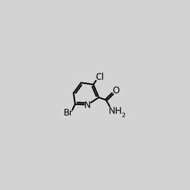 NC(=O)c1nc(Br)ccc1Cl